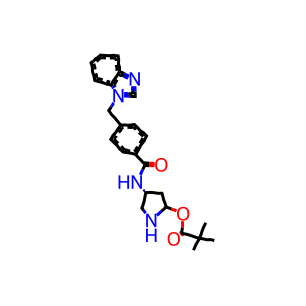 CC(C)(C)C(=O)OC1C[C@@H](NC(=O)c2ccc(Cn3cnc4ccccc43)cc2)CN1